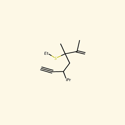 C#CC(CC(C)(SCC)C(=C)C)C(C)C